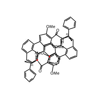 COc1cc(-c2cccc3cccc(-c4ccc(-c5cccc6cccc(-c7cc(OC)c(C(=O)N[C@H](C)c8ccccc8)c(OC)c7)c56)c5nsnc45)c23)cc(OC)c1C(=O)N[C@H](C)c1ccccc1